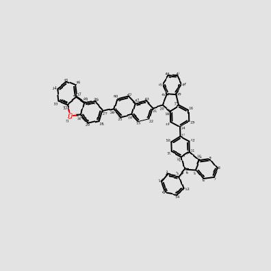 c1ccc(C2c3ccccc3-c3cc(-c4ccc5c(c4)C(c4ccc6cc(-c7ccc8oc9ccccc9c8c7)ccc6c4)c4ccccc4-5)ccc32)cc1